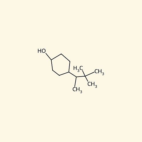 CC(C1CCC(O)CC1)C(C)(C)C